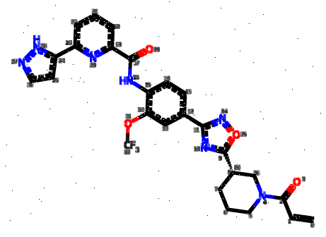 C=CC(=O)N1CCC[C@H](c2nc(-c3ccc(NC(=O)c4cccc(-c5ccn[nH]5)n4)c(OC(F)(F)F)c3)no2)C1